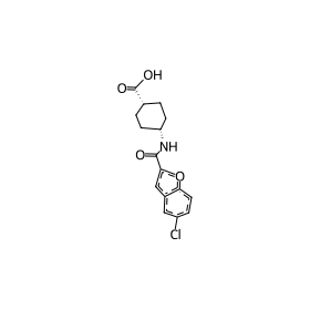 O=C(N[C@H]1CC[C@@H](C(=O)O)CC1)c1cc2cc(Cl)ccc2o1